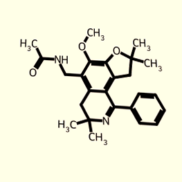 COc1c(CNC(C)=O)c2c(c3c1OC(C)(C)C3)C(c1ccccc1)=NC(C)(C)C2